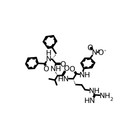 CC(C)[C@H](NC(=O)[C@@H](Cc1ccccc1)NC(=O)c1ccccc1)C(=O)N[C@@H](CCCNC(=N)N)C(=O)Nc1ccc([N+](=O)[O-])cc1